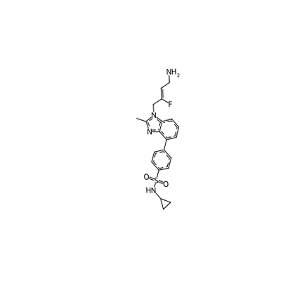 Cc1nc2c(-c3ccc(S(=O)(=O)NC4CC4)cc3)cccc2n1CC(F)=CCN